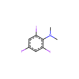 CN(C)c1c(I)cc(I)cc1I